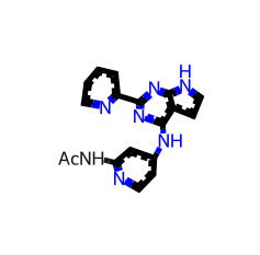 CC(=O)Nc1cc(Nc2nc(-c3ccccn3)nc3[nH]ccc23)ccn1